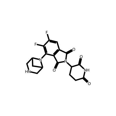 O=C1CCC(N2C(=O)c3cc(F)c(F)c(N4C5CNCC4C5)c3C2=O)C(=O)N1